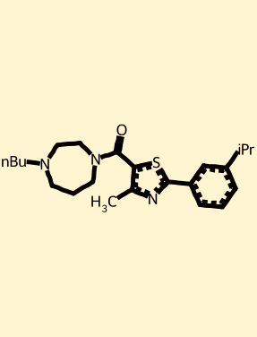 CCCCN1CCCN(C(=O)c2sc(-c3cccc(C(C)C)c3)nc2C)CC1